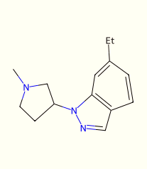 CCc1ccc2cnn(C3CCN(C)C3)c2c1